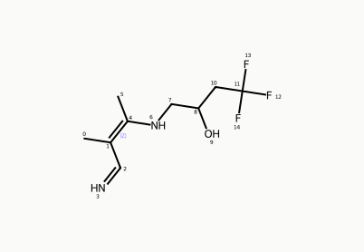 C/C(C=N)=C(\C)NCC(O)CC(F)(F)F